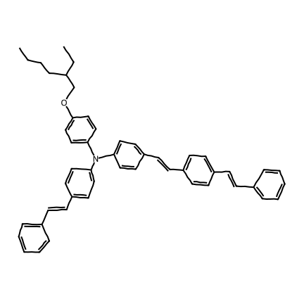 CCCCC(CC)COc1ccc(N(c2ccc(C=Cc3ccccc3)cc2)c2ccc(C=Cc3ccc(C=Cc4ccccc4)cc3)cc2)cc1